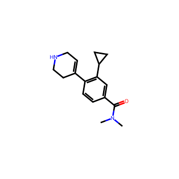 CN(C)C(=O)c1ccc(C2=CCNCC2)c(C2CC2)c1